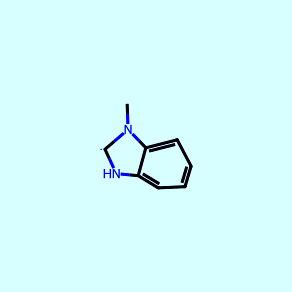 CN1[CH]Nc2ccccc21